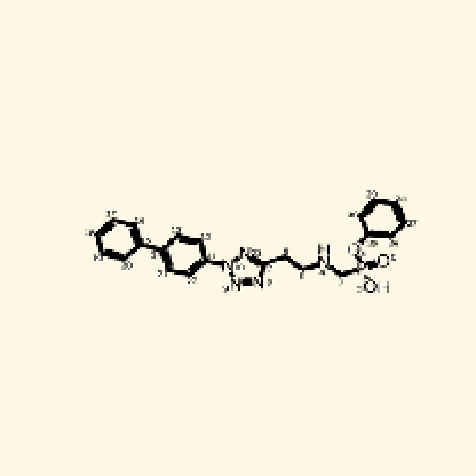 O=[P@](O)(CNCCc1nnn(-c2ccc(-c3ccccc3)cc2)n1)Oc1ccccc1